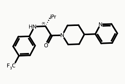 CC(C)[C@@H](Nc1ccc(C(F)(F)F)cc1)C(=O)N1CCC(c2ccccn2)CC1